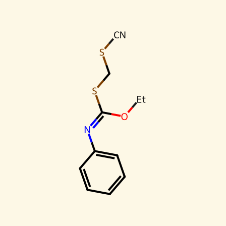 CCO/C(=N\c1ccccc1)SCSC#N